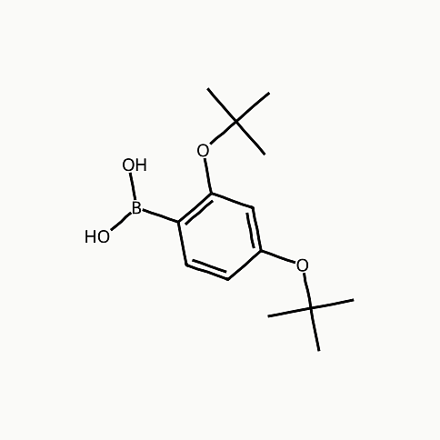 CC(C)(C)Oc1ccc(B(O)O)c(OC(C)(C)C)c1